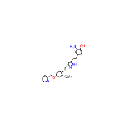 COc1cc(OCc2ccccn2)ccc1C=Cc1cc(C=Cc2ccc(O)c(N)c2)[nH]n1